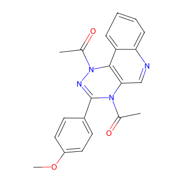 COc1ccc(C2=NN(C(C)=O)c3c(cnc4ccccc34)N2C(C)=O)cc1